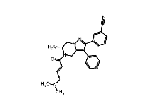 C[C@@H]1Cn2nc(-c3cccc(C#N)c3)c(-c3ccncc3)c2CN1C(=O)/C=C/CN(C)C